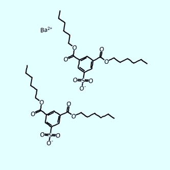 CCCCCCOC(=O)c1cc(C(=O)OCCCCCC)cc(S(=O)(=O)[O-])c1.CCCCCCOC(=O)c1cc(C(=O)OCCCCCC)cc(S(=O)(=O)[O-])c1.[Ba+2]